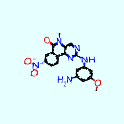 COc1cc(N)cc(Nc2ncc3c(n2)c2ccc([N+](=O)[O-])cc2c(=O)n3C)c1